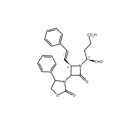 O=C[C@H](CCC(=O)O)N1C(=O)C(N2C(=O)OCC2c2ccccc2)[C@H]1/C=C/c1ccccc1